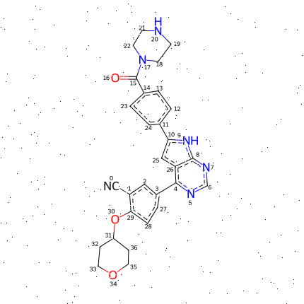 N#Cc1cc(-c2ncnc3[nH]c(-c4ccc(C(=O)N5CCNCC5)cc4)cc23)ccc1OC1CCOCC1